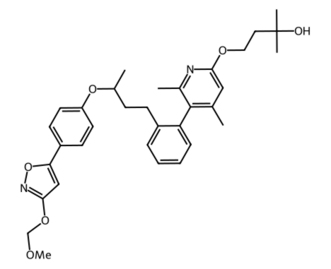 COCOc1cc(-c2ccc(OC(C)CCc3ccccc3-c3c(C)cc(OCCC(C)(C)O)nc3C)cc2)on1